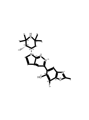 Cc1nc2cc(-c3cc4ccn([C@H]5CC(C)(C)NC(C)(C)[C@H]5F)c4nn3)c(O)c(F)c2o1